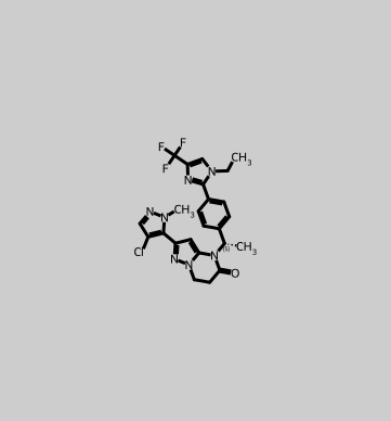 CCn1cc(C(F)(F)F)nc1-c1ccc([C@H](C)N2C(=O)CCn3nc(-c4c(Cl)cnn4C)cc32)cc1